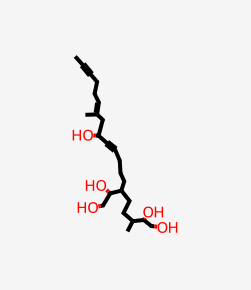 CC#CCC/C=C(\C)CC(O)C#CCCCC(CCC(C)C(O)CO)C(O)CO